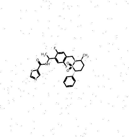 CC(NC(=O)c1cncs1)c1cc(F)c(CN2[C@@H](C)CC[C@H](c3ccccc3)S2(=O)=O)cc1F